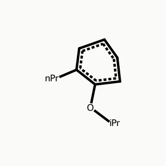 CCCc1ccccc1OC(C)C